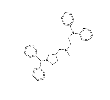 CN(CCN(c1ccccc1)c1ccccc1)CC1CCN(C(c2ccccc2)c2ccccc2)C1